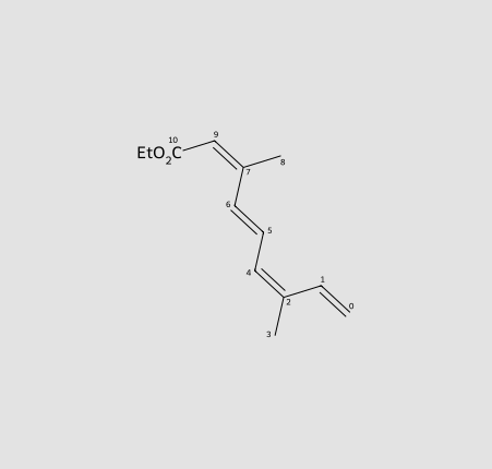 C=CC(C)=CC=CC(C)=CC(=O)OCC